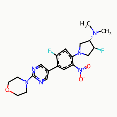 CN(C)[C@H]1CN(c2cc(F)c(-c3cnc(N4CCOCC4)nc3)cc2[N+](=O)[O-])C[C@@H]1F